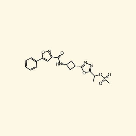 CC(OS(C)(=O)=O)c1nnc([C@H]2C[C@H](NC(=O)c3cc(-c4ccccc4)on3)C2)o1